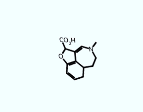 CN1C=C2C3=C(C=CCC3CC1)OC2C(=O)O